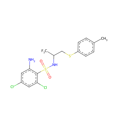 Cc1ccc(SCC(NS(=O)(=O)c2c(N)cc(Cl)cc2Cl)C(F)(F)F)cc1